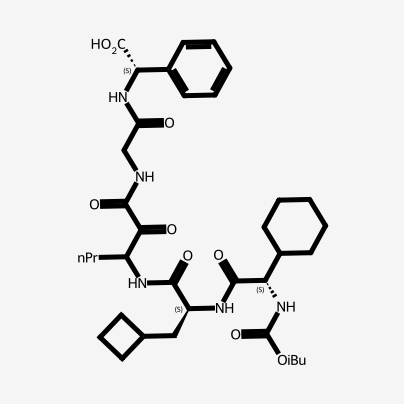 CCCC(NC(=O)[C@H](CC1CCC1)NC(=O)[C@@H](NC(=O)OCC(C)C)C1CCCCC1)C(=O)C(=O)NCC(=O)N[C@H](C(=O)O)c1ccccc1